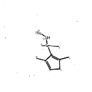 CC1=CCC(C)=C1[Si](C)(C)NC(C)(C)C